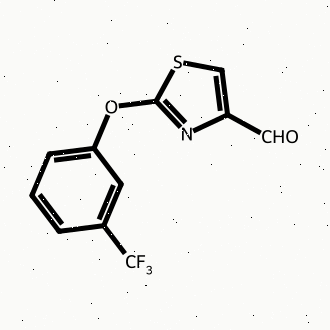 O=Cc1csc(Oc2cccc(C(F)(F)F)c2)n1